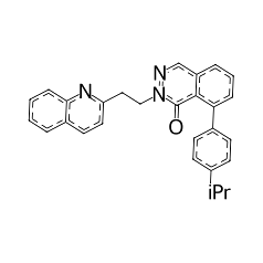 CC(C)c1ccc(-c2cccc3cnn(CCc4ccc5ccccc5n4)c(=O)c23)cc1